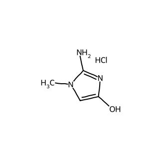 Cl.Cn1cc(O)nc1N